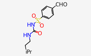 CC(C)CCNC(=O)NS(=O)(=O)c1ccc(C=O)cc1